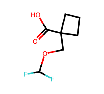 O=C(O)C1(COC(F)F)CCC1